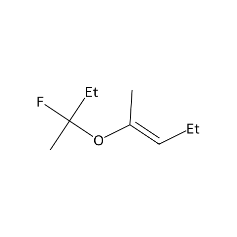 CC/C=C(\C)OC(C)(F)CC